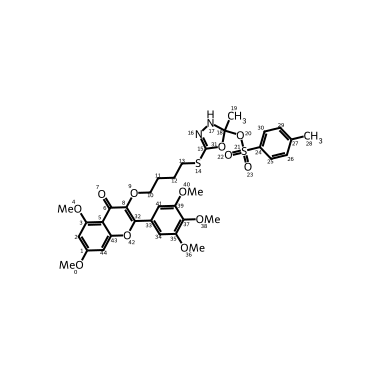 COc1cc(OC)c2c(=O)c(OCCCCSC3=NNC(C)(OS(=O)(=O)c4ccc(C)cc4)O3)c(-c3cc(OC)c(OC)c(OC)c3)oc2c1